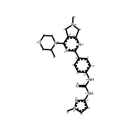 CC1COCCN1c1nc(-c2ccc(NC(=O)Nc3ccn(C)n3)cc2)nc2c1CN(C)C2